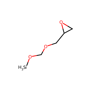 [SiH3]OCOCC1CO1